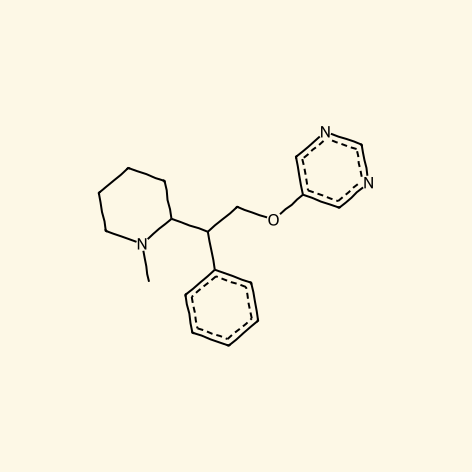 CN1CCCCC1C(COc1cncnc1)c1ccccc1